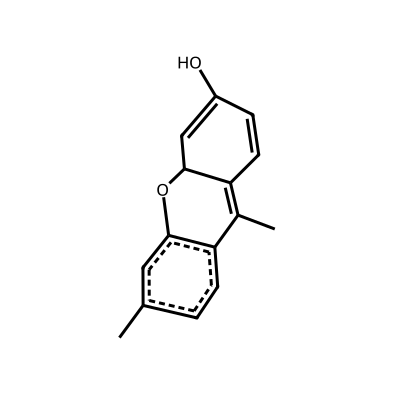 CC1=C2C=CC(O)=CC2Oc2cc(C)ccc21